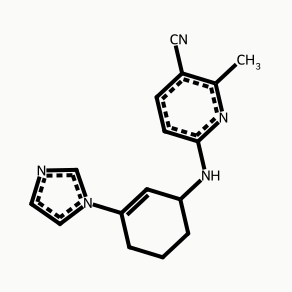 Cc1nc(NC2C=C(n3ccnc3)CCC2)ccc1C#N